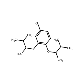 CC(C)C(C)Cc1cc(Cl)ccc1OC(C)C(C)C